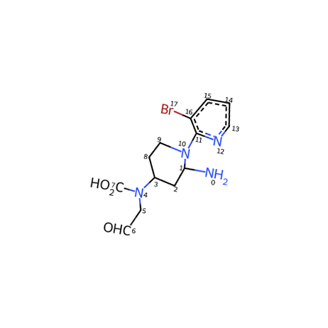 NC1CC(N(CC=O)C(=O)O)CCN1c1ncccc1Br